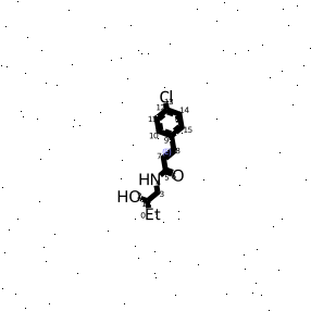 CCC(O)CNC(=O)/C=C/c1ccc(Cl)cc1